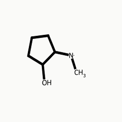 C[N]C1CCCC1O